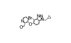 O=Cc1ncccc1Oc1ccc2c(nnn2CC2CC2)c1Br